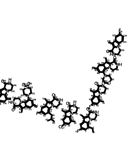 CCc1cc(F)cc2c(C)c3n(c12)CCNC3=O.Cc1c2n(c3c(C)cc(Cl)cc13)CCNC2=O.Cc1c2n(c3c(C)cc(F)cc13)CCNC2=O.Cc1c2n(c3c(CC(C)C)cc(F)cc13)CCNC2=O.Cc1c2n(c3c(N4CCOCC4)cc(F)cc13)CCNC2=O.Cc1c2n(c3c(N4CCS(=O)(=O)CC4)cc(F)cc13)CCNC2=O.Cc1c2n(c3ccc(F)cc13)CCNC2=O.Cc1cc(F)cc2cc3n(c12)CCNC3=O